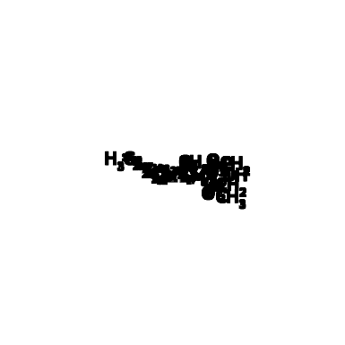 C=C(C)C(=O)OCC(COC(=O)C(=C)CO)c1ccc(CCc2ccc(CCCCC)cc2)c(C)c1